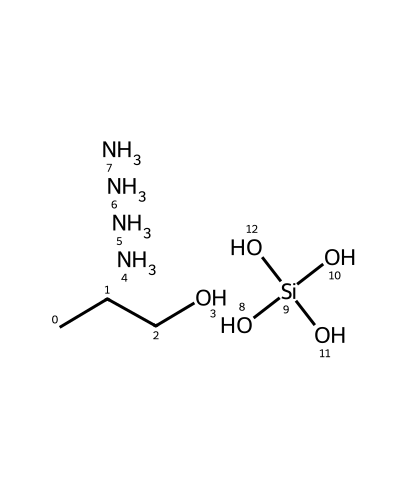 CCCO.N.N.N.N.O[Si](O)(O)O